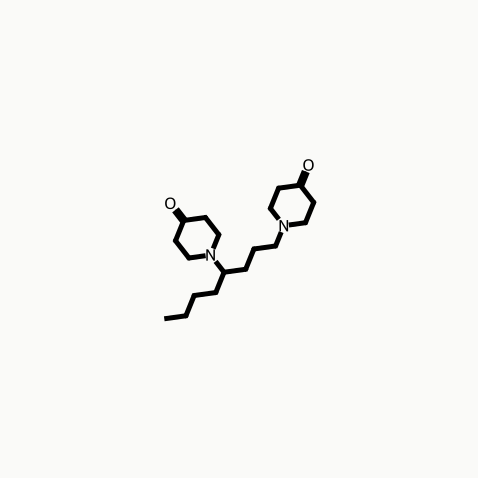 CCCCC(CCCN1CCC(=O)CC1)N1CCC(=O)CC1